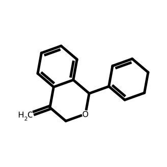 C=C1COC(C2=CCCC=C2)c2ccccc21